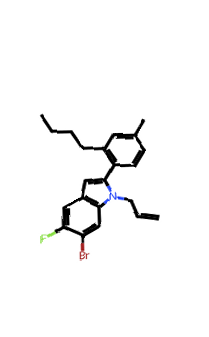 C=CCn1c(-c2ccc(C)cc2CCCC)cc2cc(F)c(Br)cc21